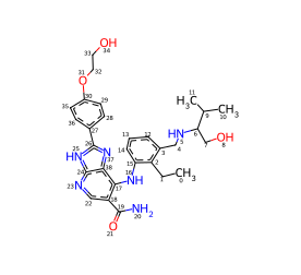 CCc1c(CNC(CO)C(C)C)cccc1Nc1c(C(N)=O)cnc2[nH]c(-c3ccc(OCCO)cc3)nc12